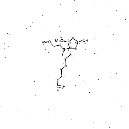 COCCN(C)[C@@]1(CCCCCCC(=O)O)C[C@H](O)C[C@@H]1OC